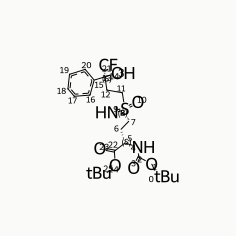 CC(C)(C)OC(=O)N[C@@H](CC[S@@](=N)(=O)CC[C@](O)(c1ccccc1)C(F)(F)F)C(=O)OC(C)(C)C